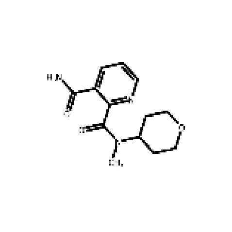 CN(C(=O)c1ncccc1C(N)=O)C1CCOCC1